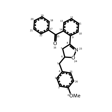 COc1ccc(CC2CC(c3ccccc3C(=O)c3ccccc3)=NO2)cc1